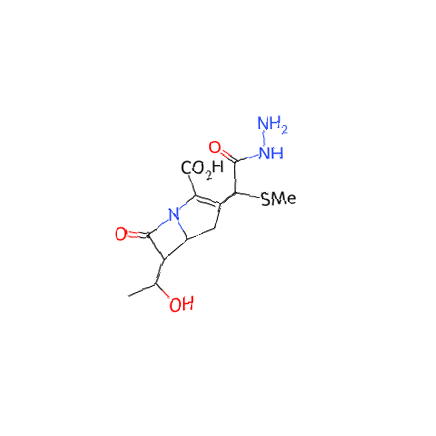 CSC(C(=O)NN)C1=C(C(=O)O)N2C(=O)C(C(C)O)C2C1